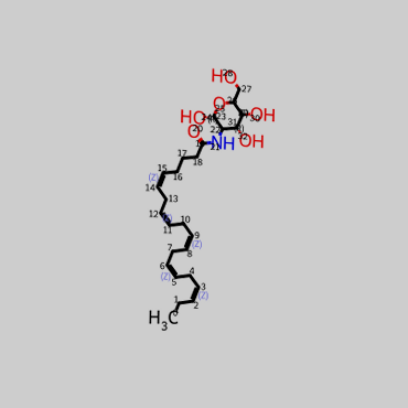 CC/C=C\C/C=C\C/C=C\C/C=C\C/C=C\CCCC(=O)NC1[C@H](O)OC(CO)[C@@H](O)[C@@H]1O